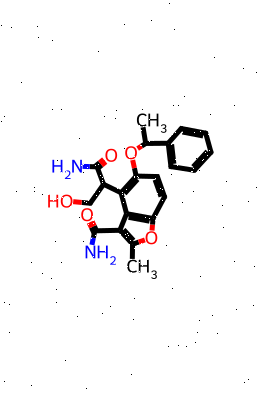 Cc1oc2ccc(OC(C)c3ccccc3)c(C(CO)C(N)=O)c2c1C(N)=O